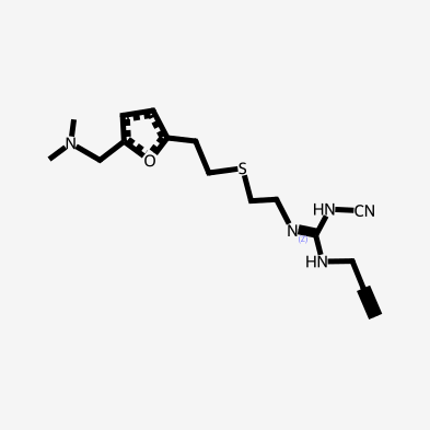 C#CCN/C(=N/CCSCCc1ccc(CN(C)C)o1)NC#N